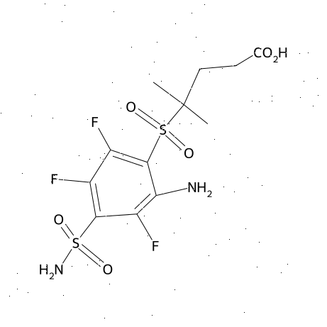 CC(C)(CCC(=O)O)S(=O)(=O)c1c(N)c(F)c(S(N)(=O)=O)c(F)c1F